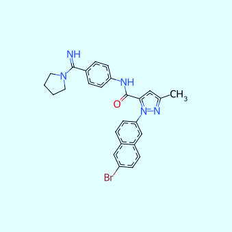 Cc1cc(C(=O)Nc2ccc(C(=N)N3CCCC3)cc2)n(-c2ccc3cc(Br)ccc3c2)n1